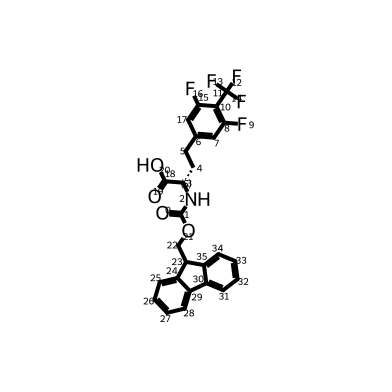 O=C(N[C@@H](CCc1cc(F)c(C(F)(F)F)c(F)c1)C(=O)O)OCC1c2ccccc2-c2ccccc21